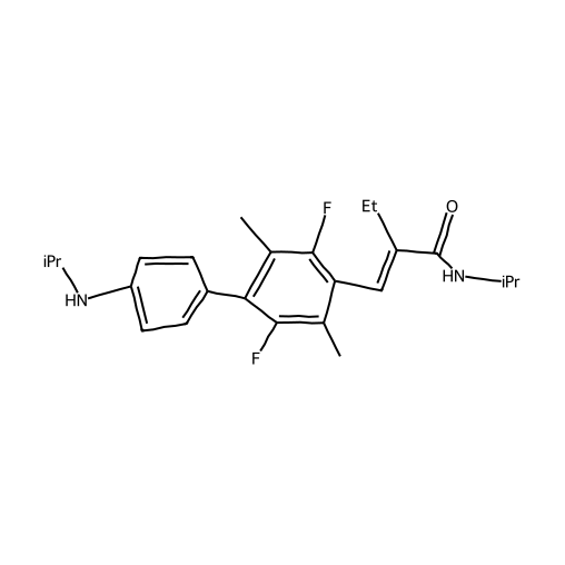 CC/C(=C\c1c(C)c(F)c(-c2ccc(NC(C)C)cc2)c(C)c1F)C(=O)NC(C)C